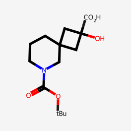 CC(C)(C)OC(=O)N1CCCC2(C1)CC(O)(C(=O)O)C2